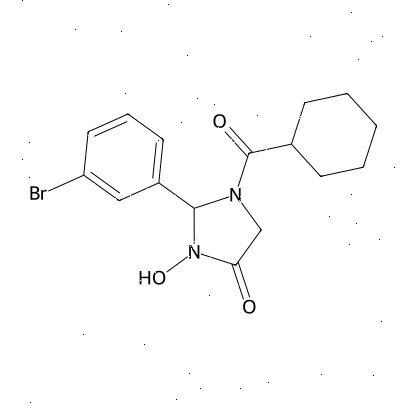 O=C1CN(C(=O)C2CCCCC2)C(c2cccc(Br)c2)N1O